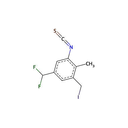 Cc1c(CI)cc(C(F)F)cc1N=C=S